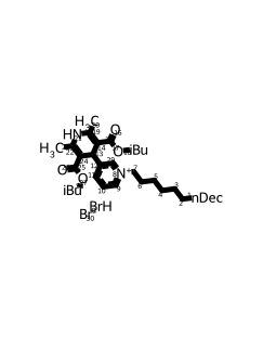 Br.CCCCCCCCCCCCCCCC[n+]1cccc(C2C(C(=O)OC(C)CC)=C(C)NC(C)=C2C(=O)OC(C)CC)c1.[Br-]